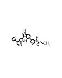 CCCC(=O)Nc1cncc(-c2ccc3[nH]nc(-c4cc5c(-c6cccs6)ccnc5[nH]4)c3c2)c1